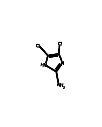 Nc1nc(Cl)c(Cl)[nH]1